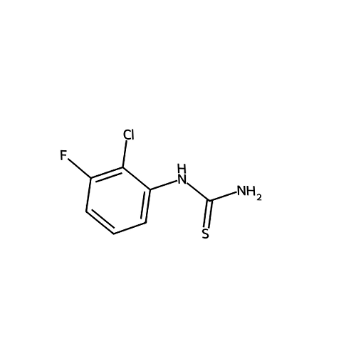 NC(=S)Nc1cccc(F)c1Cl